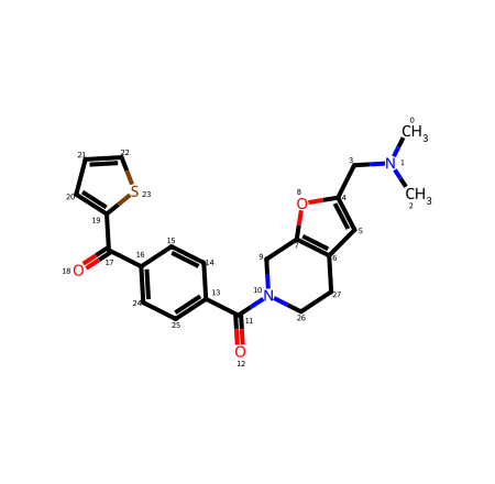 CN(C)Cc1cc2c(o1)CN(C(=O)c1ccc(C(=O)c3cccs3)cc1)CC2